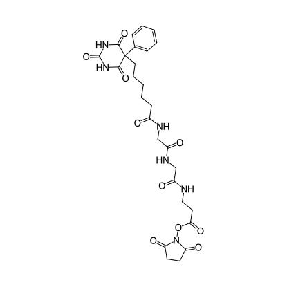 O=C(CCCCCC1(c2ccccc2)C(=O)NC(=O)NC1=O)NCC(=O)NCC(=O)NCCC(=O)ON1C(=O)CCC1=O